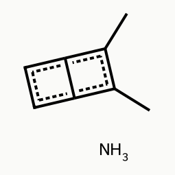 Cc1c2ccc-2c1C.N